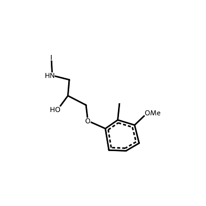 COc1cccc(OCC(O)CNI)c1C